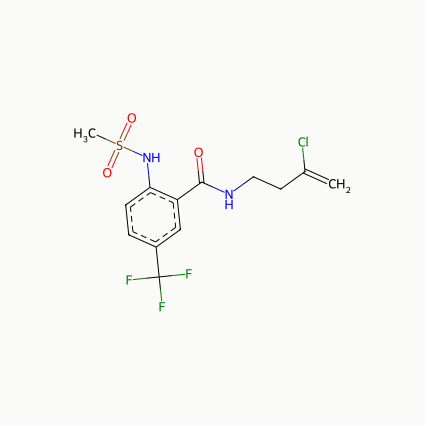 C=C(Cl)CCNC(=O)c1cc(C(F)(F)F)ccc1NS(C)(=O)=O